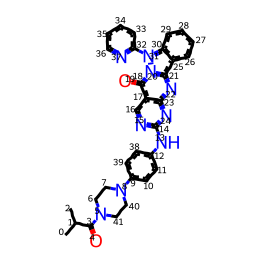 CC(C)C(=O)N1CCN(c2ccc(Nc3ncc4c(=O)n5c(nc4n3)c3ccccc3n5-c3ccccn3)cc2)CC1